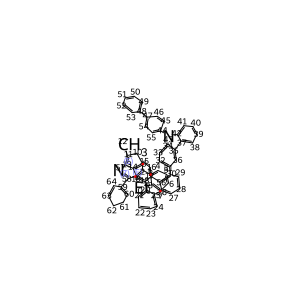 CCC1=C(\c2ccccc2)CC/C(C)=C(c2ccc3c(c2)c2ccccc2c2cccc(-c4ccc5c(c4)c4ccccc4n5-c4ccc(-c5ccccc5)cc4)c23)/N=C\1C1=CCCC=C1